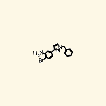 Nc1cc(-c2ccn(Cc3ccccc3)n2)ccc1Br